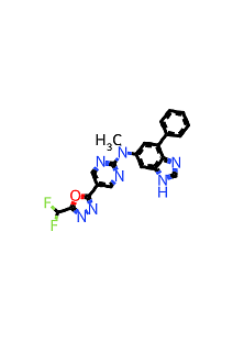 CN(c1cc(-c2ccccc2)c2nc[nH]c2c1)c1ncc(-c2nnc(C(F)F)o2)cn1